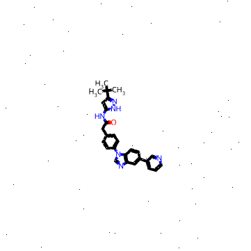 CC(C)(C)c1cc(NC(=O)Cc2ccc(-n3cnc4cc(-c5cccnc5)ccc43)cc2)[nH]n1